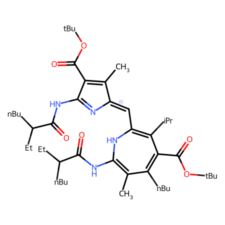 CCCCC1=C(C(=O)OC(C)(C)C)C(C(C)C)=C(/C=C2\N=C(NC(=O)C(CC)CCCC)C(C(=O)OC(C)(C)C)=C2C)NC(NC(=O)C(CC)CCCC)=C1C